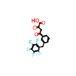 O=C(O)C(=O)CC(=O)c1cccc(Cc2c(F)c(F)c(F)c(F)c2F)c1